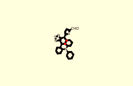 O=Cc1ccc(-c2ccc(-c3ccccc3N(c3ccccc3)c3ccccc3)c3nsnc23)s1